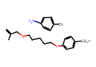 C=C(C)COCCCCCOc1ccc(C(=O)O)cc1.N#Cc1ccc(N)cc1